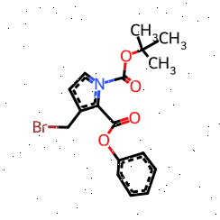 CC(C)(C)OC(=O)n1ccc(CBr)c1C(=O)Oc1ccccc1